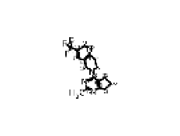 Cc1nc2c(c(N3CCc4ncc(C(F)(F)F)cc4C3)n1)CCC2